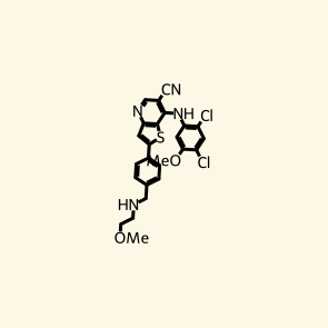 COCCNCc1ccc(-c2cc3ncc(C#N)c(Nc4cc(OC)c(Cl)cc4Cl)c3s2)cc1